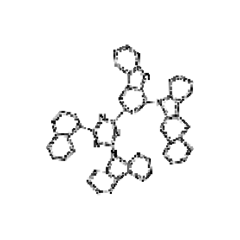 c1ccc2cc3c(cc2c1)c1ccccc1n3-c1cc(-c2nc(-c3cccc4ccccc34)nc(-n3c4ccccc4c4ccccc43)n2)cc2c1oc1ccccc12